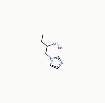 Br.CCC(N)Cn1ccnc1